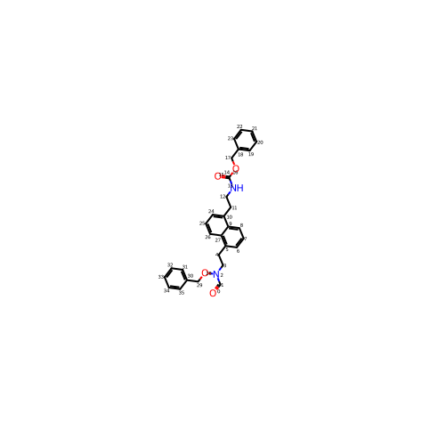 O=CN(CCc1cccc2c(CCNC(=O)OCc3ccccc3)cccc12)OCc1ccccc1